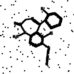 CN1C(=O)CN=C(c2ccccc2F)c2c1ccc(N=C=O)c2Cl